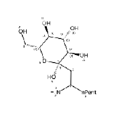 CCCCCC(N)C[C@@]1(O)O[C@H](CO)[C@@H](O)[C@H](O)[C@H]1O